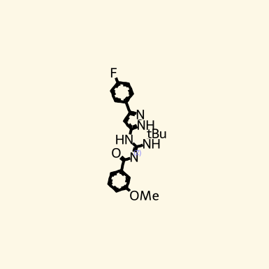 COc1cccc(C(=O)/N=C(\Nc2cc(-c3ccc(F)cc3)n[nH]2)NC(C)(C)C)c1